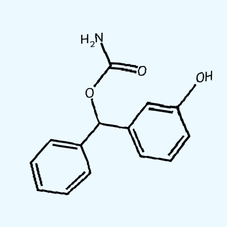 NC(=O)OC(c1ccccc1)c1cccc(O)c1